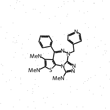 CNc1sc2c(c1NC)C(c1ccccc1)=NN(Cc1ccncc1)c1nnc(NC)n1-2